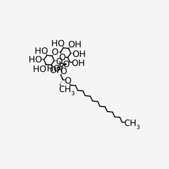 CCCCCCCCCCCCCCCCO[C@H](CC)COP(=O)(O)O[C@@H]1C(O)C(O)[C@@H](O)[C@H](O)C1O[C@H]1OC(CO)[C@@H](O)C(O)[C@H]1O